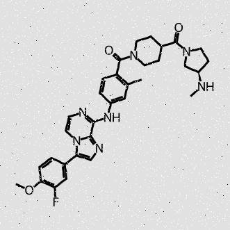 CN[C@@H]1CCN(C(=O)C2CCN(C(=O)c3ccc(Nc4nccn5c(-c6ccc(OC)c(F)c6)cnc45)cc3C)CC2)C1